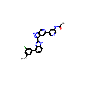 COc1cc(F)cc(-c2cccc3[nH]c(-c4n[nH]c5cnc(-c6cncc(NC(=O)C(C)(C)C)c6)cc45)nc23)c1